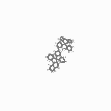 c1ccc(C2(c3ccc(-c4cccc5c4Oc4ccccc4C54c5ccccc5-c5ccccc54)cc3)c3ccccc3-c3c2ccc2ccccc32)cc1